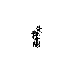 Cc1cccc([C@@H](C)Nc2nnc(C)c3ccc(N4CCN5CCC[C@@H]5C4)cc23)c1C